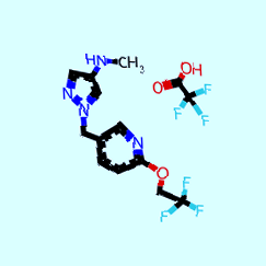 CNc1cnn(Cc2ccc(OCC(F)(F)F)nc2)c1.O=C(O)C(F)(F)F